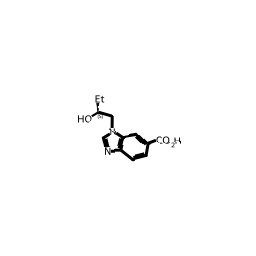 CC[C@H](O)Cn1cnc2ccc(C(=O)O)cc21